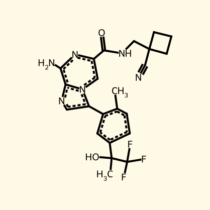 Cc1ccc(C(C)(O)C(F)(F)F)cc1-c1cnc2c(N)nc(C(=O)NCC3(C#N)CCC3)cn12